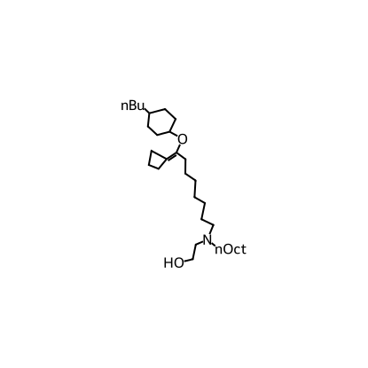 CCCCCCCCN(CCO)CCCCCCCC(OC1CCC(CCCC)CC1)=C1CCC1